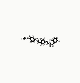 CCCc1ccc(OCc2ccc(CCN3CCc4ccccc4C3)cc2)cc1